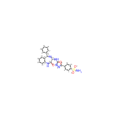 NS(=O)(=O)c1ccc(-c2nnc(NC3N=C(c4ccccc4)c4ccccc4NC3=O)o2)cc1